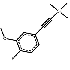 COc1cc(C#C[Si](C)(C)C)ccc1F